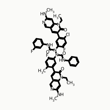 CCn1c(=O)c(-c2cc(N(C(=O)Nc3ccccc3)N(C(=O)Nc3cccc(F)c3)c3cc(-c4cc5cnc(NC)cc5n(CC)c4=O)c(Cl)cc3F)c(F)cc2C)cc2cnc(NC)cc21